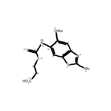 COc1cc2nc(C(C)(C)C)sc2cc1NC(=S)SCCC(=O)O